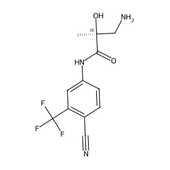 C[C@](O)(CN)C(=O)Nc1ccc(C#N)c(C(F)(F)F)c1